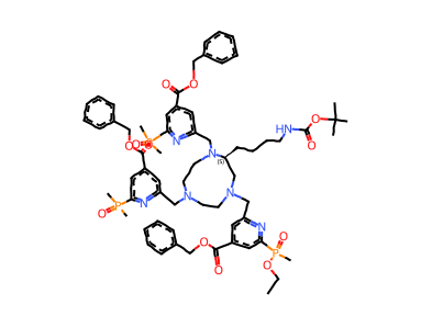 CCOP(C)(=O)c1cc(C(=O)OCc2ccccc2)cc(CN2CCN(Cc3cc(C(=O)OCc4ccccc4)cc(P(C)(C)=O)n3)CCN(Cc3cc(C(=O)OCc4ccccc4)cc(P(C)(C)=O)n3)[C@@H](CCCCNC(=O)OC(C)(C)C)C2)n1